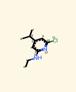 CCNc1cc(C(C)C)cc(Cl)n1